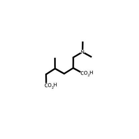 CC(CC(=O)O)CC(CN(C)C)C(=O)O